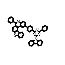 c1ccc(-c2nc(-c3ccc(-c4ccc5nc(-c6ccccc6)c6ccc7sc8ccccc8c7c6c5c4)cc3)nc(-n3c4ccccc4c4ccccc43)n2)cc1